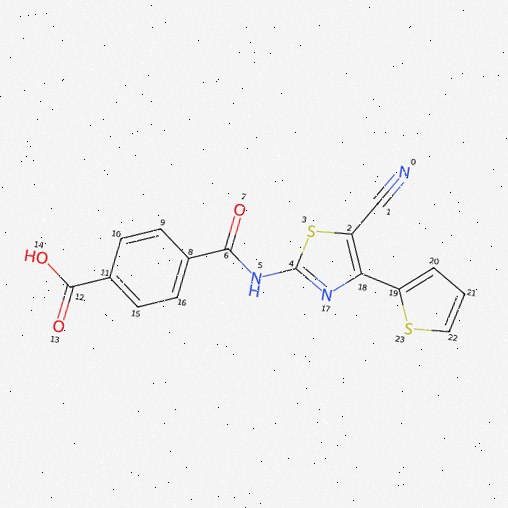 N#Cc1sc(NC(=O)c2ccc(C(=O)O)cc2)nc1-c1cccs1